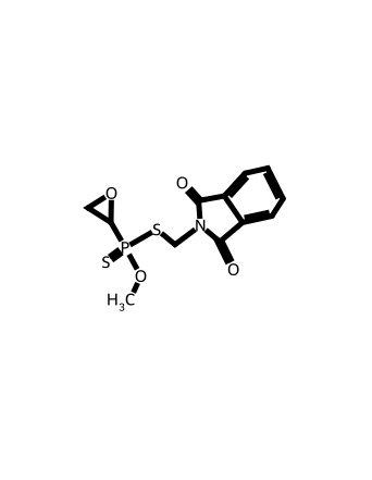 COP(=S)(SCN1C(=O)c2ccccc2C1=O)C1CO1